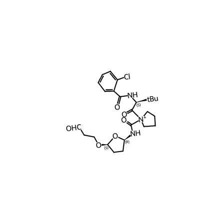 CC(C)(C)[C@H](NC(=O)c1ccccc1Cl)C(=O)[N+]1(C(=O)N[C@H]2CC[C@@H](OCCC=O)O2)CCCC1